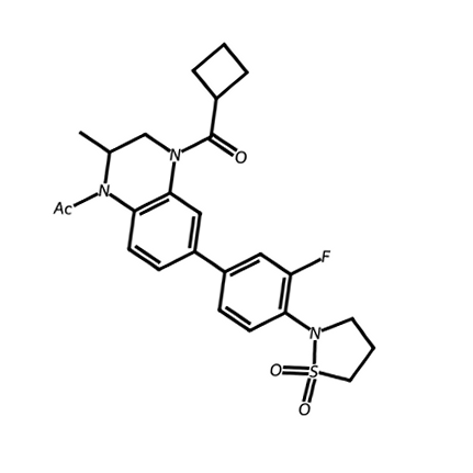 CC(=O)N1c2ccc(-c3ccc(N4CCCS4(=O)=O)c(F)c3)cc2N(C(=O)C2CCC2)CC1C